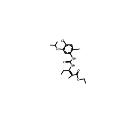 CCOC(=O)/C(C)=C(/CC)NC(=O)Nc1cc(OC(C)C)c(Cl)cc1F